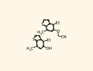 CCc1c(O)cc(C)c2sccc12.CCc1c(OCC#N)cc(C)c2sccc12